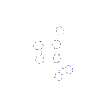 c1ccc(-c2ccc3c(c2)Oc2ccccc2-c2ccccc2Oc2cc(-n4c5ccccc5c5ccncc54)ccc2-3)cc1